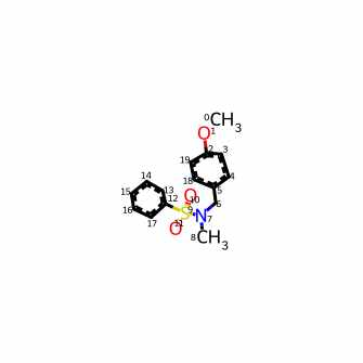 COc1ccc(CN(C)S(=O)(=O)c2ccccc2)cc1